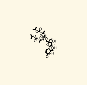 C=C1NC(=O)C=CN1[C@@H]1O[C@](CF)(COP(=O)(OC(C)OC(=O)OC(C)C)OC(C)OC(=O)OC(C)C)[C@@H](O)[C@@]1(C)O